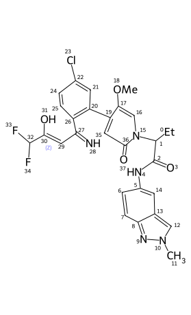 CCC(C(=O)Nc1ccc2nn(C)cc2c1)n1cc(OC)c(-c2cc(Cl)ccc2C(=N)/C=C(\O)C(F)F)cc1=O